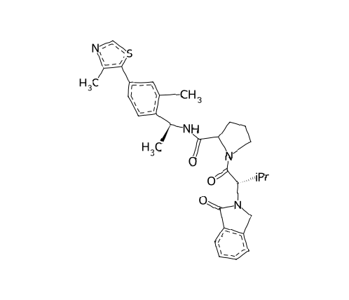 Cc1cc(-c2scnc2C)ccc1[C@H](C)NC(=O)C1CCCN1C(=O)[C@H](C(C)C)N1Cc2ccccc2C1=O